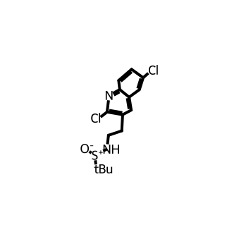 CC(C)(C)[S+]([O-])NCCc1cc2cc(Cl)ccc2nc1Cl